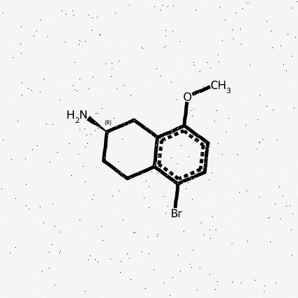 COc1ccc(Br)c2c1C[C@H](N)CC2